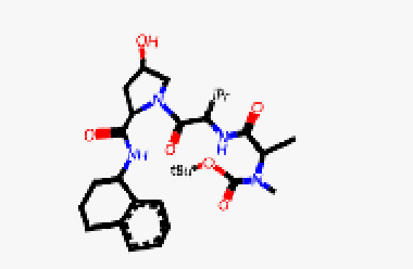 CC(C)C(NC(=O)C(C)N(C)C(=O)OC(C)(C)C)C(=O)N1CC(O)CC1C(=O)NC1CCCc2ccccc21